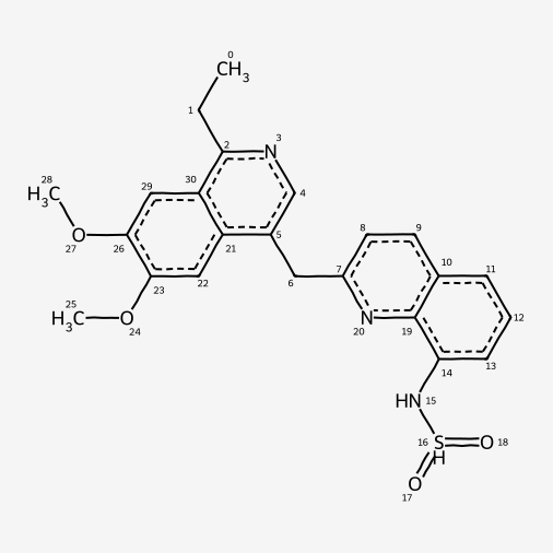 CCc1ncc(Cc2ccc3cccc(N[SH](=O)=O)c3n2)c2cc(OC)c(OC)cc12